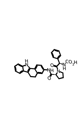 O=C(O)N[C@@H](C(=O)N1CCC[C@H]1C(=O)Nc1ccc2c(c1)CCc1c-2[nH]c2ccccc12)c1ccccc1